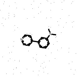 CN(C)c1cccc(-c2ccncc2)c1